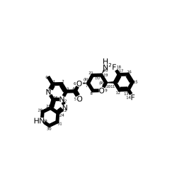 Cc1cc(C(=O)O[C@H]2CO[C@H](c3cc(F)ccc3F)[C@@H](N)C2)n2nc3c(c2n1)CNCC3